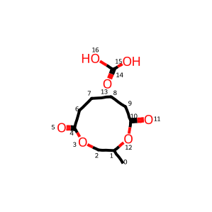 CC1COC(=O)CCCCC(=O)O1.O=C(O)O